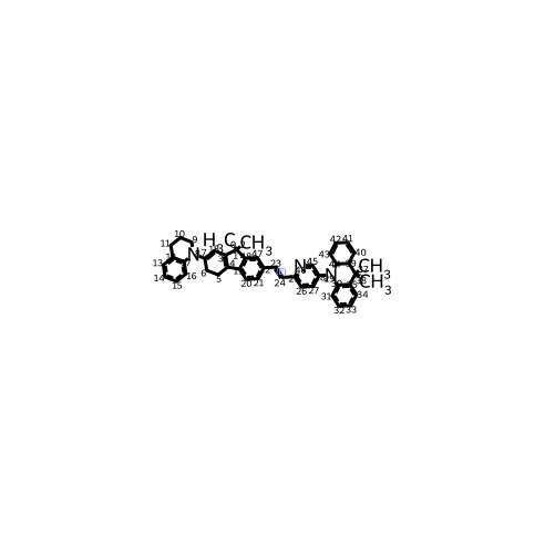 CC1(C)C2=C(CCC(N3CCCc4ccccc43)=C2)c2ccc(/C=C/c3ccc(N4c5ccccc5C(C)(C)C5C=CC=CC54)cn3)cc21